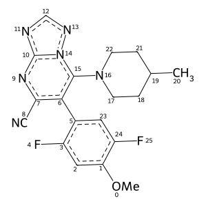 COc1cc(F)c(-c2c(C#N)nc3ncnn3c2N2CCC(C)CC2)cc1F